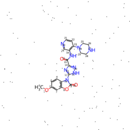 COc1ccc2c(c1)oc(=O)n2-c1nc(C(=O)Nc2cnccc2N2CCNCC2)n[nH]1